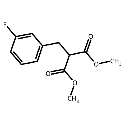 COC(=O)C(Cc1cccc(F)c1)C(=O)OC